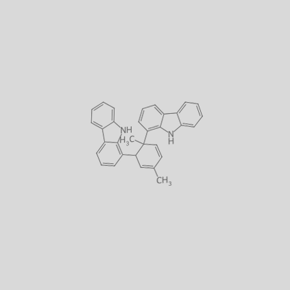 CC1=CC(c2cccc3c2[nH]c2ccccc23)C(C)(c2cccc3c2[nH]c2ccccc23)C=C1